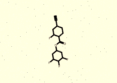 C#CC1CCC(C(=O)OC2CC(F)C(F)C(F)C2)C(F)C1